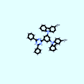 CC(C)(C)c1ccc2c(c1)c1ccccc1n2-c1cc(-c2nc(-c3ccccc3)nc(-c3ccccc3)n2)cc(-n2c3ccccc3c3cc(C(C)(C)C)ccc32)c1